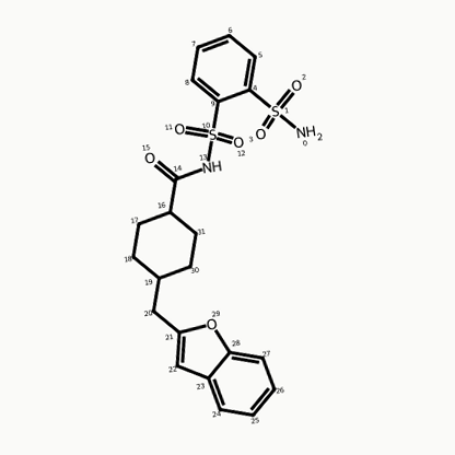 NS(=O)(=O)c1ccccc1S(=O)(=O)NC(=O)C1CCC(Cc2cc3ccccc3o2)CC1